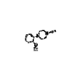 C#CN1CCN(c2ccccc2OCC)CC1